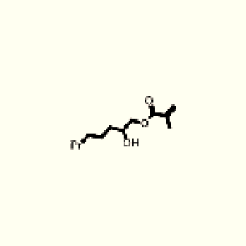 C=C(C)C(=O)OCC(O)CCCC(C)C